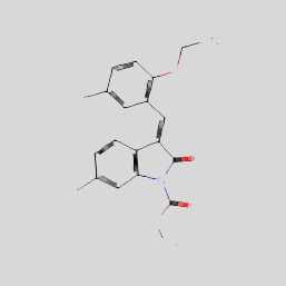 CC(C)(C)OC(=O)N1C(=O)/C(=C/c2cc(Cl)ccc2OCC#N)c2ccc(Cl)cc21